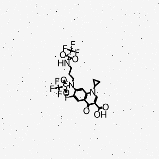 O=C(O)c1cn(C2CC2)c2cc(N(CCCNS(=O)(=O)C(F)(F)F)S(=O)(=O)C(F)(F)F)c(F)cc2c1=O